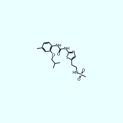 Cc1ccc(NC(=O)Nc2ncc(CCNS(C)(=O)=O)s2)c(OCC(C)C)c1